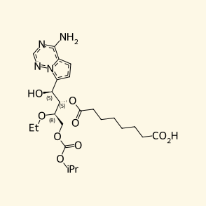 CCO[C@H](COC(=O)OC(C)C)[C@@H](OC(=O)CCCCCCC(=O)O)[C@@H](O)c1ccc2c(N)ncnn12